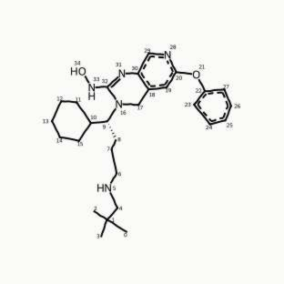 CC(C)(C)CNCCC[C@H](C1CCCCC1)N1Cc2cc(Oc3ccccc3)ncc2N=C1NO